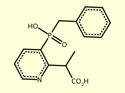 CC(C(=O)O)c1ncccc1P(=O)(O)Cc1ccccc1